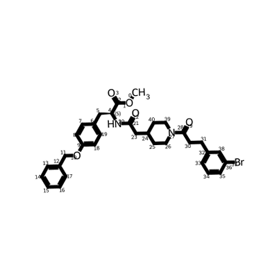 COC(=O)[C@H](Cc1ccc(OCc2ccccc2)cc1)NC(=O)CC1CCN(C(=O)CCc2cccc(Br)c2)CC1